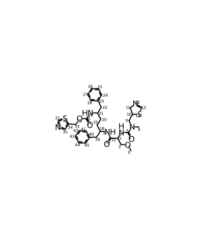 COCC(NC(=O)N(C)CC1CN=CS1)C(=O)NC(CCC(Cc1ccccc1)NC(=O)OCc1cncs1)Cc1ccccc1